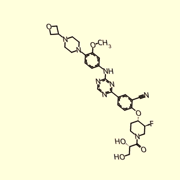 COc1cc(Nc2ncnc(-c3ccc(O[C@H]4CCN(C(=O)[C@@H](O)CO)C[C@@H]4F)c(C#N)c3)n2)ccc1N1CCN(C2COC2)CC1